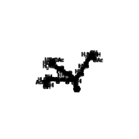 CC(=O)OCC1O[C@@H](OCCCCC(=O)NCCCNC(=O)CCOCC(COCCC(=O)NCCCNC(=O)CCCCO[C@H](OC(COC(C)=O)[C@H](O)CO)[C@H](C)N)(COCCC(=O)NCCCNC(=O)CCCCO[C@@H]2OC(COC(C)=O)[C@H](O)C(O)[C@@H]2N)NC(=O)OCc2ccccc2)[C@@H](N)C(O)[C@H]1O